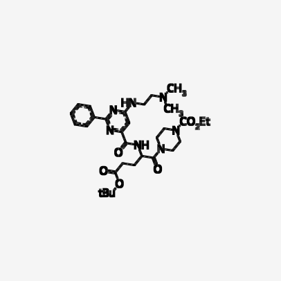 CCOC(=O)N1CCN(C(=O)C(CCC(=O)OC(C)(C)C)NC(=O)c2cc(NCCN(C)C)nc(-c3ccccc3)n2)CC1